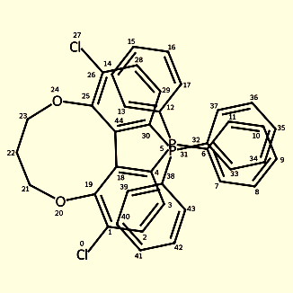 Clc1ccc(P(c2ccccc2)c2ccccc2)c2c1OCCCOc1c(Cl)ccc(P(c3ccccc3)c3ccccc3)c1-2